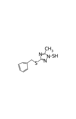 Cc1nc(SCc2ccccc2)nn1S